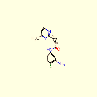 Cc1ccnc([C@H]2C[C@@H]2C(=O)Nc2ccc(F)c(N)c2)n1